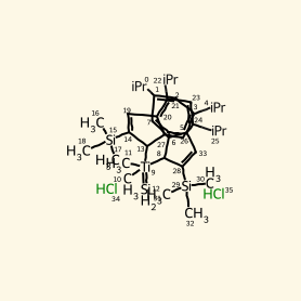 CC(C)c1cc(C(C)C)c2c(c1)[CH]([Ti]([CH3])([CH3])(=[SiH2])[CH]1C([Si](C)(C)C)=Cc3c(C(C)C)cc(C(C)C)cc31)C([Si](C)(C)C)=C2.Cl.Cl